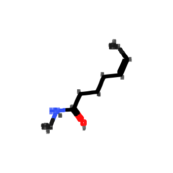 CC(C)(C)/C=C\CCCC(=O)NC(C)(C)C